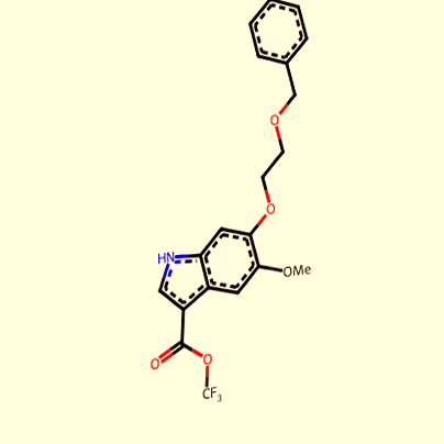 COc1cc2c(C(=O)OC(F)(F)F)c[nH]c2cc1OCCOCc1ccccc1